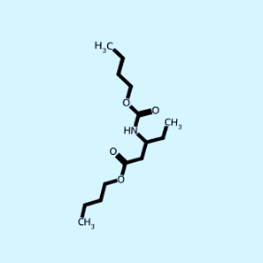 CCCCOC(=O)C[C](CC)NC(=O)OCCCC